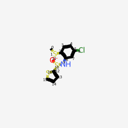 CSc1ccc(Cl)cc1N[S+]([O-])c1cccs1